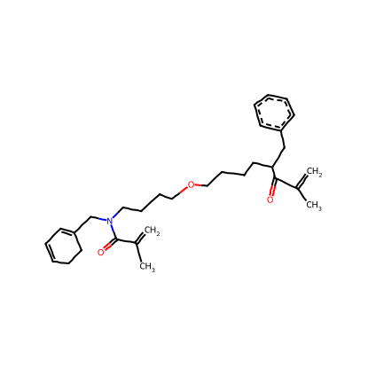 C=C(C)C(=O)C(CCCCOCCCCN(CC1=CC=CCC1)C(=O)C(=C)C)Cc1ccccc1